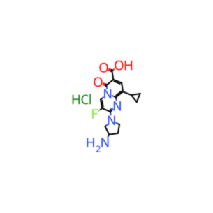 Cl.NC1CCN(c2nc3c(C4CC4)cc(C(=O)O)c(=O)n3cc2F)C1